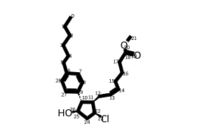 CCCCCCc1ccc([C@@H]2[C@@H](C/C=C\CCCC(=O)OC)[C@@H](Cl)C[C@H]2O)cc1